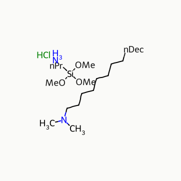 CCCCCCCCCCCCCCCCCCN(C)C.CCC[Si](OC)(OC)OC.Cl.N